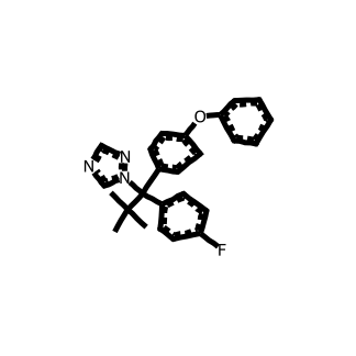 CC(C)(C)C(c1ccc(F)cc1)(c1ccc(Oc2ccccc2)cc1)n1cncn1